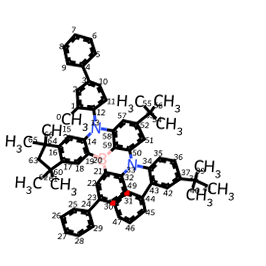 Cc1cc(-c2ccccc2)ccc1N1c2cc3c(cc2B2c4cc(-c5ccccc5)ccc4N(c4ccc(C(C)(C)C)cc4-c4ccccc4)c4cc(C(C)(C)C)cc1c42)C(C)(C)CC3(C)C